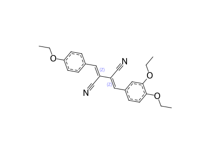 CCOc1ccc(/C=C(C#N)/C(C#N)=C/c2ccc(OCC)c(OCC)c2)cc1